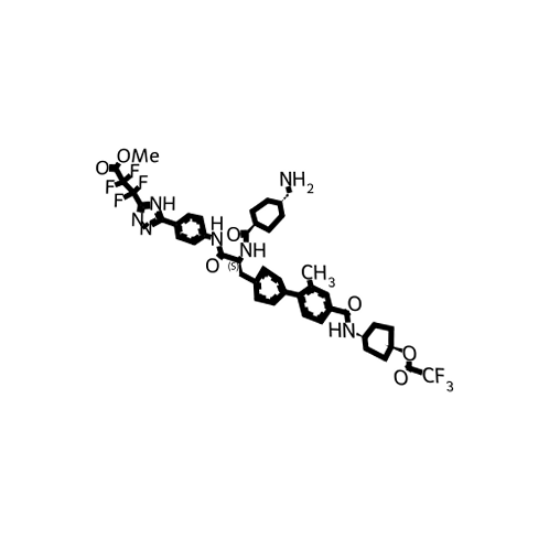 COC(=O)C(F)(F)C(F)(F)c1nnc(-c2ccc(NC(=O)[C@H](Cc3ccc(-c4ccc(C(=O)N[C@H]5CC[C@H](OC(=O)C(F)(F)F)CC5)cc4C)cc3)NC(=O)[C@H]3CC[C@H](CN)CC3)cc2)[nH]1